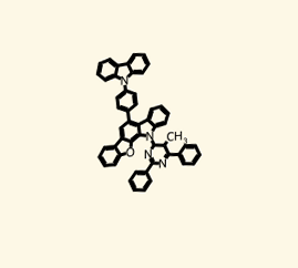 CC1C(c2ccccc2)=NC(c2ccccc2)=NC1n1c2ccccc2c2c(-c3ccc(-n4c5ccccc5c5ccccc54)cc3)cc3c4ccccc4oc3c21